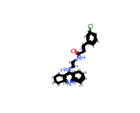 O=C(/C=C/c1cccc(Cl)c1)NCCNc1c2c(nc3ccccc13)CCCC2